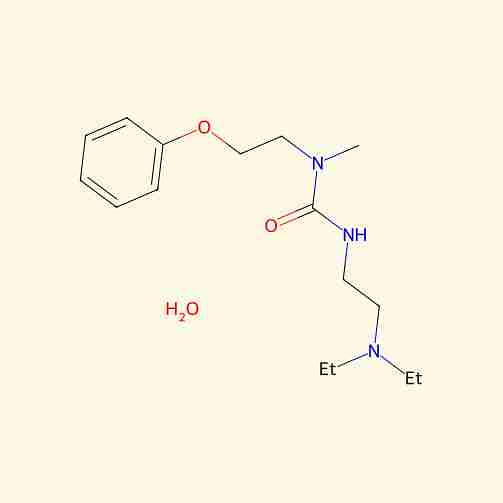 CCN(CC)CCNC(=O)N(C)CCOc1ccccc1.O